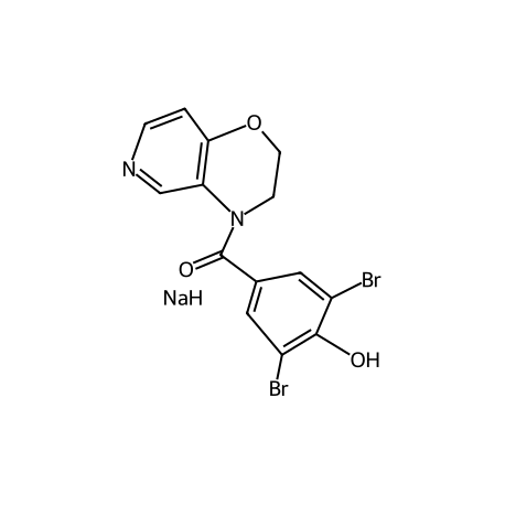 O=C(c1cc(Br)c(O)c(Br)c1)N1CCOc2ccncc21.[NaH]